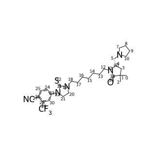 CC1(C)C[C@@H](CN2CCCC2)N(CCCCCCCN2CCN(c3ccc(C#N)c(C(F)(F)F)c3)C2=S)C1=O